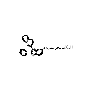 O=C(O)CCCCCOc1ccc2nc(-c3ccccc3)n(-c3ccc4ccccc4c3)c2c1